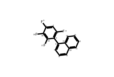 Fc1cc(F)c(-c2cccc3ccccc23)c(F)c1F